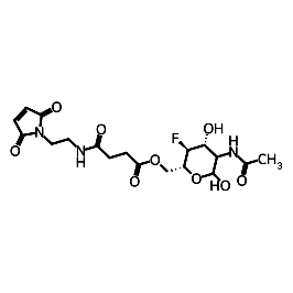 CC(=O)NC1C(O)O[C@H](COC(=O)CCC(=O)NCCN2C(=O)C=CC2=O)[C@@H](F)[C@@H]1O